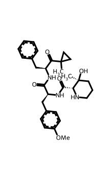 COc1ccc(C[C@H](NC(=O)[C@H]2NCCC[C@]2(C)O)C(=O)N[C@@H](Cc2ccccc2)C(=O)C2(C)CC2)cc1